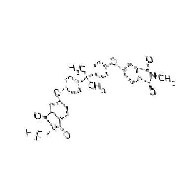 CCN1C(=O)c2ccc(Oc3ccc(C(C)(C)c4ccc(Oc5ccc6c(c5)C(=O)N(C)C6=O)cc4)cc3)cc2C1=O